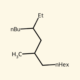 CCCCCCCC(C)CC(CC)CCCC